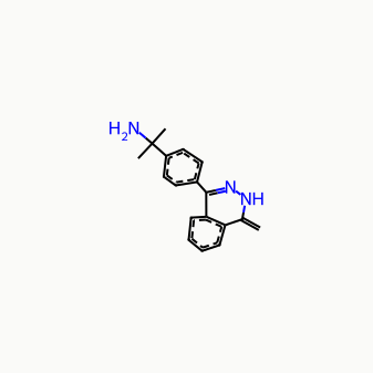 C=C1NN=C(c2ccc(C(C)(C)N)cc2)c2ccccc21